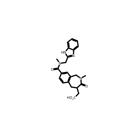 CN(Cc1nc2ccccc2[nH]1)C(=O)c1ccc2c(c1)CN(C)C(=O)C(CC(=O)O)C2